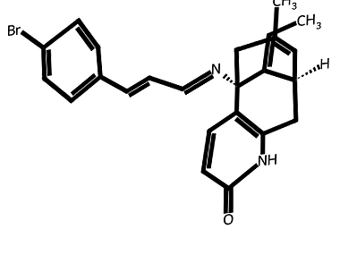 C/C=C1\[C@H]2C=C(C)C[C@]1(N=CC=Cc1ccc(Br)cc1)c1ccc(=O)[nH]c1C2